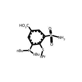 CCCCN(CCCC)c1cc(C(=O)O)cc(S(N)(=O)=O)c1SCCC